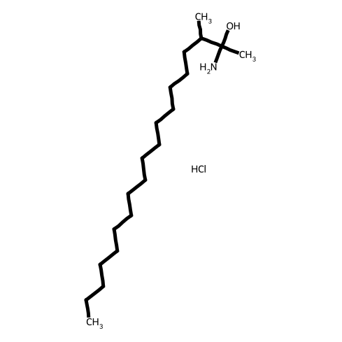 CCCCCCCCCCCCCCCCC(C)C(C)(N)O.Cl